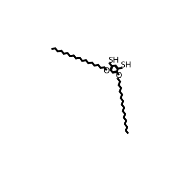 CCCCCCCCCCCCCCCCCCOc1cc(OCCCCCCCCCCCCCCCCCC)c(CS)cc1CS